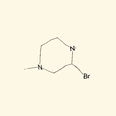 CN1CC[N]C(Br)C1